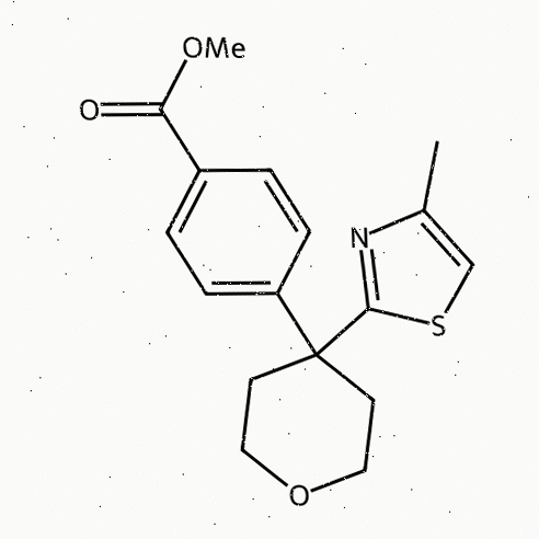 COC(=O)c1ccc(C2(c3nc(C)cs3)CCOCC2)cc1